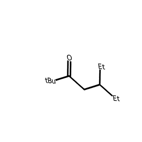 CCC(CC)CC(=O)C(C)(C)C